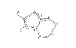 Cc1[c]c2cccccc-2c1C